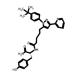 CC(C)(C)c1ccc(-n2nc(-c3ccccn3)cc2CCCCC(=O)N[C@H](Cc2ccc(O)cc2)C(N)=O)cc1